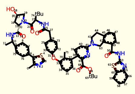 Cc1ncsc1-c1ccc(C(C)NC(=O)[C@@H]2C[C@@H](O)CN2C(=O)C(NC(=O)Cc2ccc(Oc3cccc(-c4ccc(N5CCc6cccc(C(=O)Nc7nc8ccccc8s7)c6C5)nc4C(=O)OC(C)(C)C)c3C)cc2)C(C)(C)C)cc1